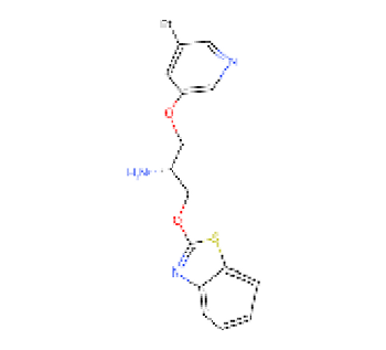 CCc1cncc(OC[C@@H](N)COc2nc3ccccc3s2)c1